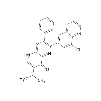 CC(C)c1c[nH]c2nc(-c3ccccc3)c(-c3cc(Cl)c4ncccc4c3)nc2c1=O